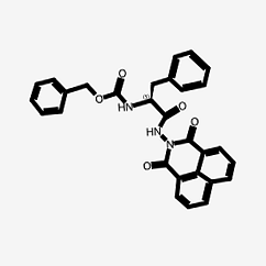 O=C(N[C@@H](Cc1ccccc1)C(=O)NN1C(=O)c2cccc3cccc(c23)C1=O)OCc1ccccc1